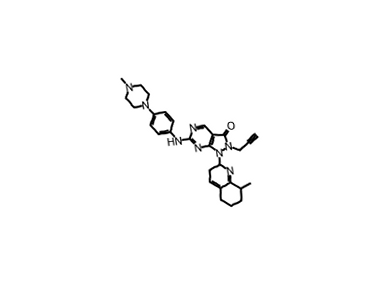 C#CCn1c(=O)c2cnc(Nc3ccc(N4CCN(C)CC4)cc3)nc2n1C1CC=C2CCCC(C)C2=N1